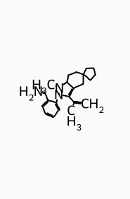 C=C(C)C1=C2CC3(CCCC3)CCC2N(C)N1c1ccccc1CN